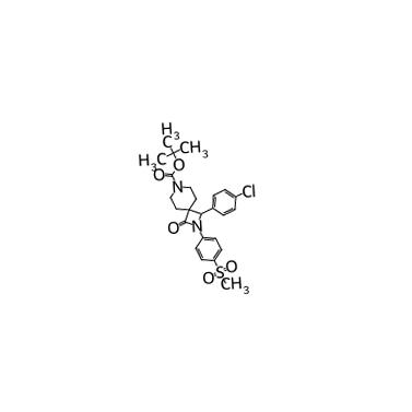 CC(C)(C)OC(=O)N1CCC2(CC1)C(=O)N(c1ccc(S(C)(=O)=O)cc1)C2c1ccc(Cl)cc1